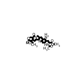 CCC1(O)C(=O)OCc2c1cc1n(c2=O)Cc2cc3c(N)c(C=C(NC(C)=O)C(=O)OC)ccc3nc2-1